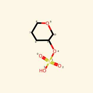 O=S(=O)(O)OC1CCCOC1